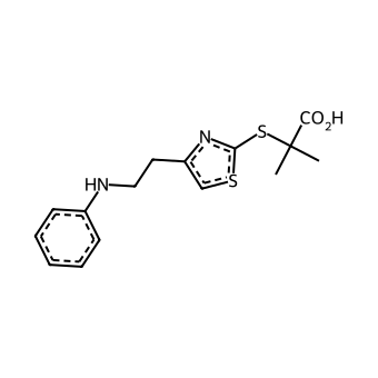 CC(C)(Sc1nc(CCNc2ccccc2)cs1)C(=O)O